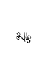 COC(=O)CCC(C)NC(=O)OC